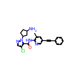 Cc1cc(C#Cc2ccccc2)cnc1NC(=O)c1c(Cl)cnn1C1CCC(N)C1